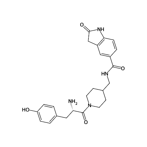 N[C@@H](Cc1ccc(O)cc1)C(=O)N1CCC(CNC(=O)c2ccc3c(c2)CC(=O)N3)CC1